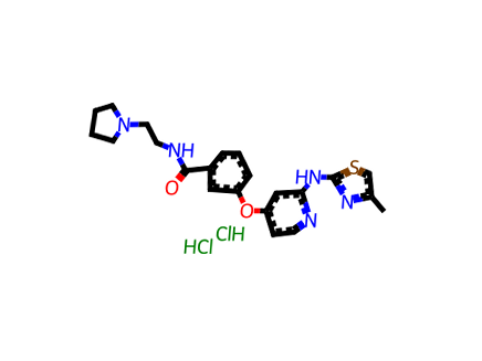 Cc1csc(Nc2cc(Oc3cccc(C(=O)NCCN4CCCC4)c3)ccn2)n1.Cl.Cl